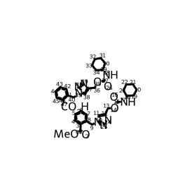 COC(=O)c1ccccc1Cn1cc(COC(=O)NC2CCCCC2)nn1.O=C(NC1CCCCC1)OCc1cn(Cc2ccccc2C(=O)O)nn1